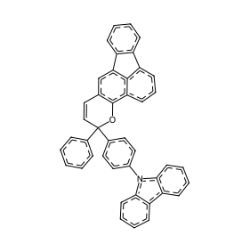 C1=CC(c2ccccc2)(c2ccc(-n3c4ccccc4c4ccccc43)cc2)Oc2c1cc1c3c(cccc23)-c2ccccc2-1